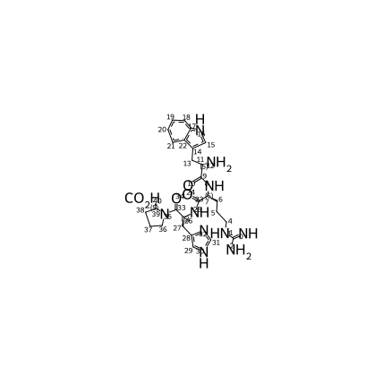 N=C(N)NCCC[C@H](NC(=O)[C@@H](N)Cc1c[nH]c2ccccc12)C(=O)N[C@@H](Cc1c[nH]cn1)C(=O)N1CCC[C@H]1C(=O)O